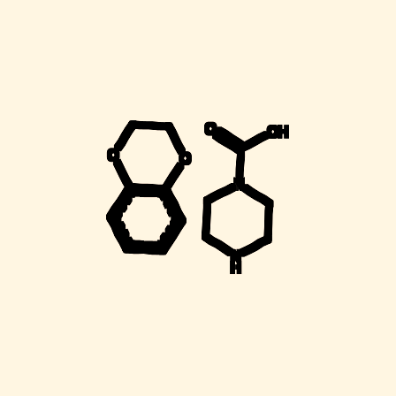 O=C(O)N1CCNCC1.c1ccc2c(c1)OCCO2